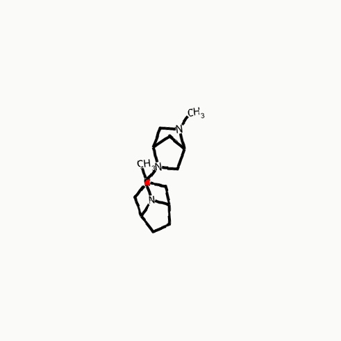 CN1CC2CCC(C1)N2CN1CC2CC1CN2C